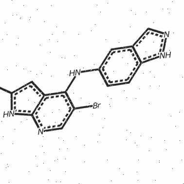 Brc1cnc2[nH]c(I)cc2c1Nc1ccc2[nH]ncc2c1